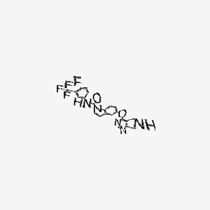 O=C(Nc1ccc(F)c(C(F)(F)F)c1)n1ccc2cc(Oc3ncnc4c3CNC4)ccc21